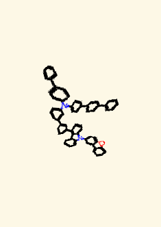 c1ccc(-c2ccc(-c3ccc(N(c4ccc(-c5ccccc5)cc4)c4cccc(-c5cccc(-c6cccc7c6c6ccccc6n7-c6ccc7oc8ccccc8c7c6)c5)c4)cc3)cc2)cc1